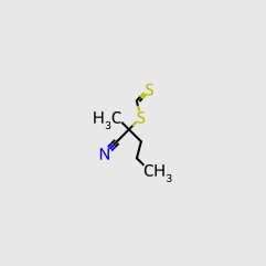 CCCC(C)(C#N)SC=S